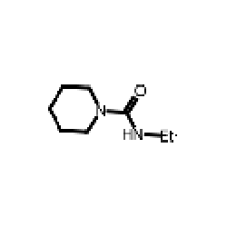 C[CH]NC(=O)N1CCCCC1